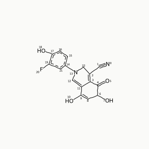 N#CC1=C2C(=O)C(O)C=C(O)C2=CN(c2ccc(O)c(F)c2)C1